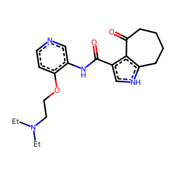 CCN(CC)CCOc1ccncc1NC(=O)c1c[nH]c2c1C(=O)CCCC2